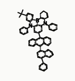 CC(C)(C)c1ccc2c(c1)N(c1ccccc1)c1cc(-c3c4ccccc4c(-c4ccc(-c5ccccc5)c5ccccc45)c4ccccc34)cc3c1B2C1=C(C=CCC1)N3c1ccccc1